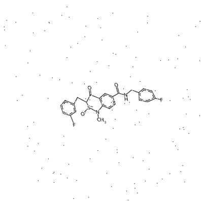 CN1c2ccc(C(=O)NCc3ccc(F)cc3)cc2C(=O)C(Cc2cccc(F)c2)[S+]1[O-]